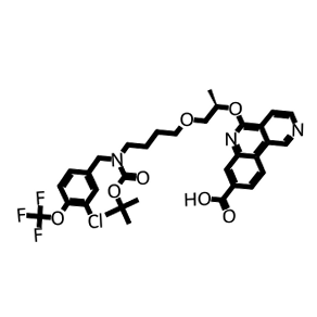 C[C@H](COCCCCN(Cc1ccc(OC(F)(F)F)c(Cl)c1)C(=O)OC(C)(C)C)Oc1nc2cc(C(=O)O)ccc2c2cnccc12